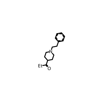 CCC(=O)C1CCN(CCc2ccccc2)CC1